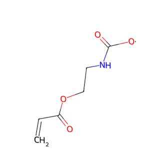 C=CC(=O)OCCNC([O])=O